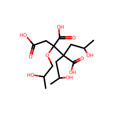 CC(O)COC(CC(=O)O)(C(=O)O)C(CC(C)O)(CC(C)O)C(=O)O